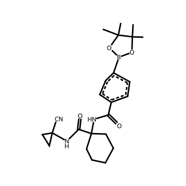 CC1(C)OB(c2ccc(C(=O)NC3(C(=O)NC4(C#N)CC4)CCCCC3)cc2)OC1(C)C